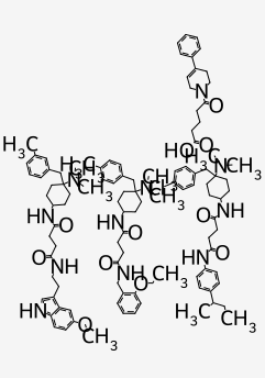 CCC(C)c1ccc(NC(=O)CCC(=O)NC2CCC(Cc3ccc(Cl)cc3)(N(C)C)CC2)cc1.CCOc1ccccc1CNC(=O)CCC(=O)NC1CCC(Cc2ccc(C)cc2)(N(C)C)CC1.COc1ccc2[nH]cc(CCNC(=O)CCC(=O)NC3CCC(Cc4cccc(C)c4)(N(C)C)CC3)c2c1.O=C(O)CCCC(=O)N1CC=C(c2ccccc2)CC1